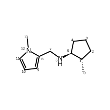 C[C@H]1CCC[C@@H]1NCc1cccn1C